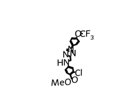 COC(=O)c1ccc(NCc2ncn(-c3ccc(OC(F)(F)F)cc3)n2)cc1Cl